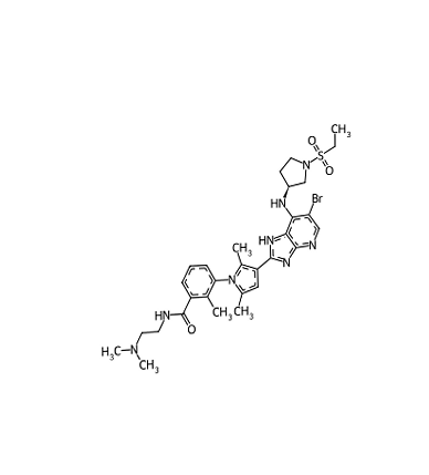 CCS(=O)(=O)N1CC[C@H](Nc2c(Br)cnc3nc(-c4cc(C)n(-c5cccc(C(=O)NCCN(C)C)c5C)c4C)[nH]c23)C1